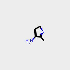 CC1=NCC=C1N